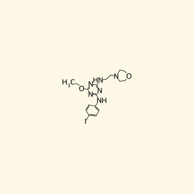 CCOc1nc(NCCN2CCOCC2)nc(Nc2ccc(I)cc2)n1